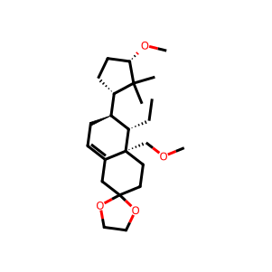 CC[C@H]1[C@H]([C@@H]2CC[C@H](OC)C2(C)C)CC=C2CC3(CC[C@@]21COC)OCCO3